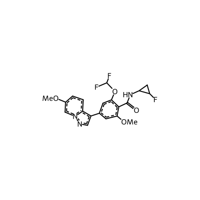 COc1ccc2c(-c3cc(OC)c(C(=O)NC4CC4F)c(OC(F)F)c3)cnn2c1